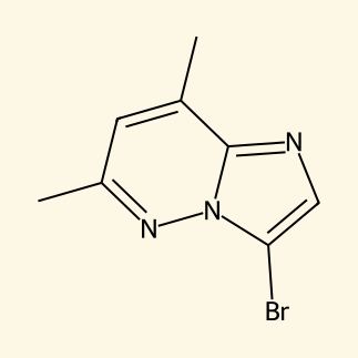 Cc1cc(C)c2ncc(Br)n2n1